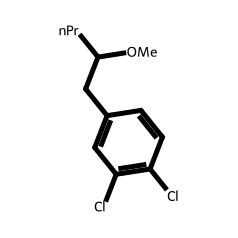 CCCC(Cc1ccc(Cl)c(Cl)c1)OC